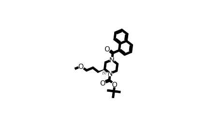 COCCC[C@H]1CN(C(=O)c2cccc3ccccc23)CCN1C(=O)OC(C)(C)C